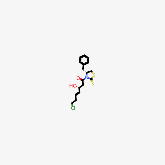 O=C(C[C@@H](O)C=CCCCl)N1C(=S)SC[C@H]1Cc1ccccc1